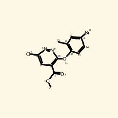 COC(=O)c1cc(Cl)nnc1Oc1ccc(Br)cc1C